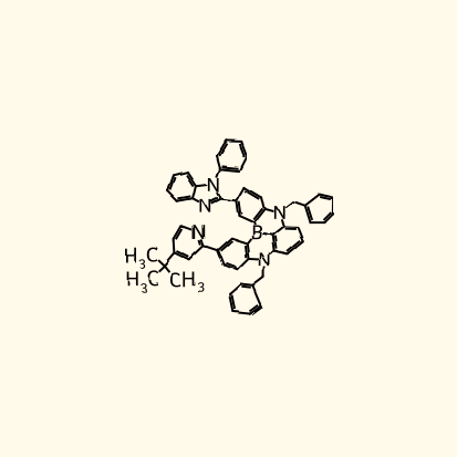 CC(C)(C)c1ccnc(-c2ccc3c(c2)B2c4cc(-c5nc6ccccc6n5-c5ccccc5)ccc4N(Cc4ccccc4)c4cccc(c42)N3Cc2ccccc2)c1